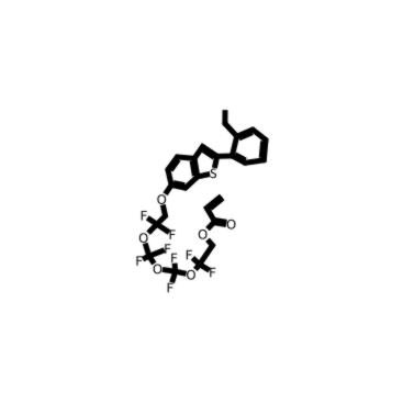 C=CC(=O)OCC(F)(F)OC(F)(F)OC(F)(F)OC(F)(F)COc1ccc2cc(-c3ccccc3CC)sc2c1